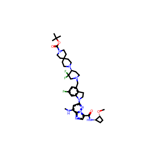 CNc1cc(N2CCc3c(CN4CC[C@H](N5CCC6(CCN(C(=O)OC(C)(C)C)CC6)CC5)C(F)(F)C4)cc(F)cc32)nn2c(C(=O)N[C@@H]3CC[C@H]3OC)cnc12